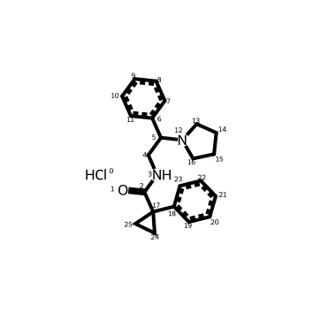 Cl.O=C(NCC(c1ccccc1)N1CCCC1)C1(c2ccccc2)CC1